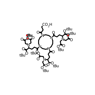 CC(C)(C)OC(=O)CN(CC(=O)OC(C)(C)C)C(CCC(=O)N1CCCN(C(=O)CCC(C(=O)OC(C)(C)C)N(CC(=O)OC(C)(C)C)CC(=O)OC(C)(C)C)CCN(C(=O)CCC(C(=O)OC(C)(C)C)N(CC(=O)OC(C)(C)C)CC(=O)OC(C)(C)C)CCCN(C(=O)CCC(=O)O)CC1)C(=O)OC(C)(C)C